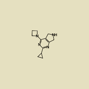 C1CN(c2nc(C3CC3)nc3c2CNC3)C1